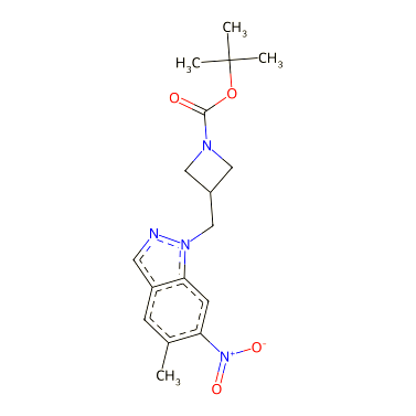 Cc1cc2cnn(CC3CN(C(=O)OC(C)(C)C)C3)c2cc1[N+](=O)[O-]